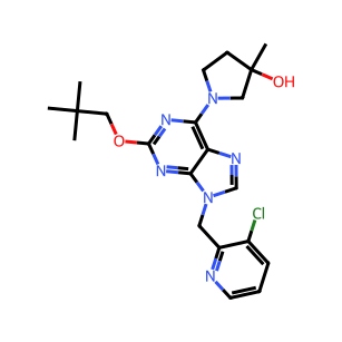 CC(C)(C)COc1nc(N2CCC(C)(O)C2)c2ncn(Cc3ncccc3Cl)c2n1